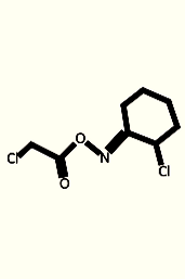 O=C(CCl)ON=C1CCCCC1Cl